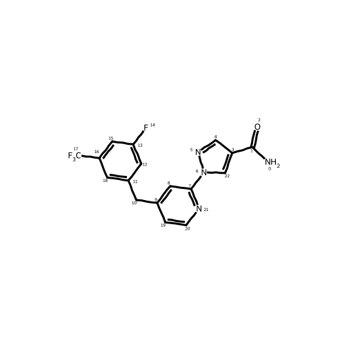 NC(=O)c1cnn(-c2cc(Cc3cc(F)cc(C(F)(F)F)c3)ccn2)c1